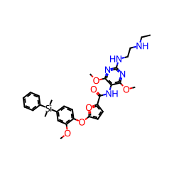 CCNCCNc1nc(OC)c(NC(=O)c2ccc(Oc3ccc([Si](C)(C)c4ccccc4)cc3OC)o2)c(OC)n1